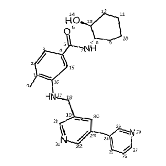 Cc1ccc(C(=O)N[C@H]2CCCC[C@@H]2O)cc1NCc1cncc(-c2cccnc2)c1